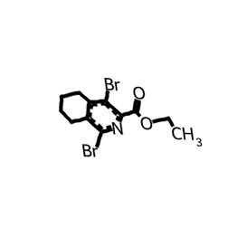 CCOC(=O)c1nc(Br)c2c(c1Br)CCCC2